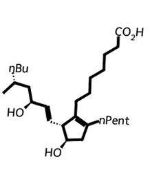 CCCCCC1=C(CCCCCCC(=O)O)[C@@H](/C=C/[C@@H](O)C[C@H](C)CCCC)[C@H](O)C1